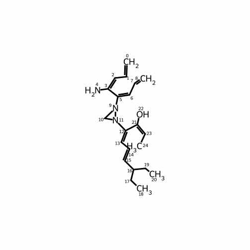 C=C/C=C(N)\C(=C/C=C)N1CN1C(=C/C=C/C(CC)CC)/C(O)=C\C